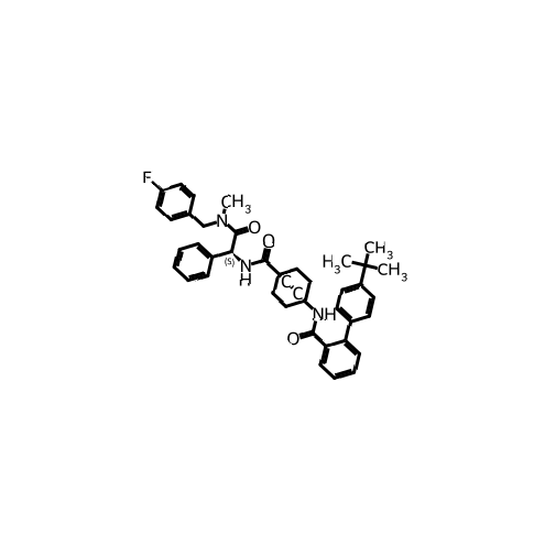 CN(Cc1ccc(F)cc1)C(=O)[C@@H](NC(=O)C12CCC(NC(=O)c3ccccc3-c3ccc(C(C)(C)C)cc3)(CC1)CC2)c1ccccc1